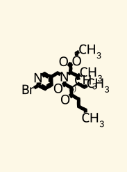 CCCCC(=O)[C@H](CCC)C(=O)N(Cc1ccc(Br)nc1)C(C(=O)OCC)C(C)C